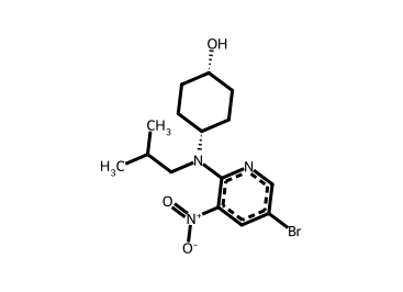 CC(C)CN(c1ncc(Br)cc1[N+](=O)[O-])[C@H]1CC[C@@H](O)CC1